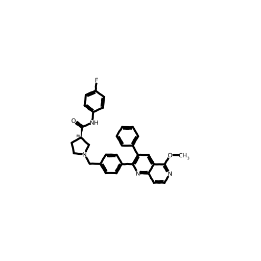 COc1nccc2nc(-c3ccc(CN4CC[C@@H](C(=O)Nc5ccc(F)cc5)C4)cc3)c(-c3ccccc3)cc12